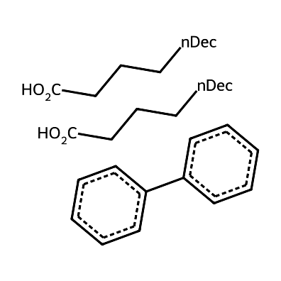 CCCCCCCCCCCCCC(=O)O.CCCCCCCCCCCCCC(=O)O.c1ccc(-c2ccccc2)cc1